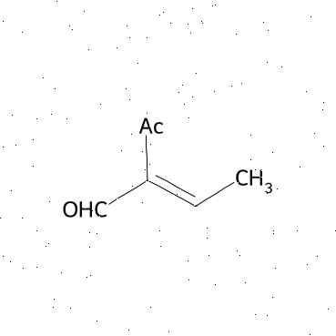 C/C=C(/C=O)C(C)=O